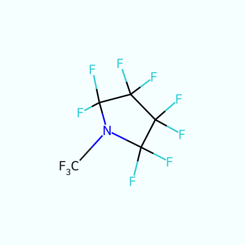 FC(F)(F)N1C(F)(F)C(F)(F)C(F)(F)C1(F)F